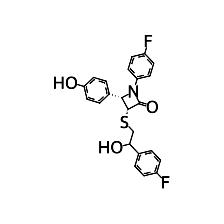 O=C1[C@H](SCC(O)c2ccc(F)cc2)[C@H](c2ccc(O)cc2)N1c1ccc(F)cc1